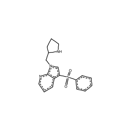 O=S(=O)(c1ccccc1)c1cn(CC2CCCN2)c2ncccc12